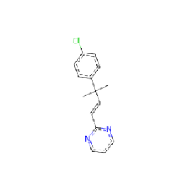 CC(C)(C=Cc1ncccn1)c1ccc(Cl)cc1